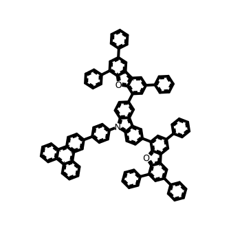 c1ccc(-c2cc(-c3ccccc3)c3oc4c(-c5ccc6c(c5)c5cc(-c7cc(-c8ccccc8)cc8c7oc7c(-c9ccccc9)cc(-c9ccccc9)cc78)ccc5n6-c5ccc(-c6ccc7c8ccccc8c8ccccc8c7c6)cc5)cc(-c5ccccc5)cc4c3c2)cc1